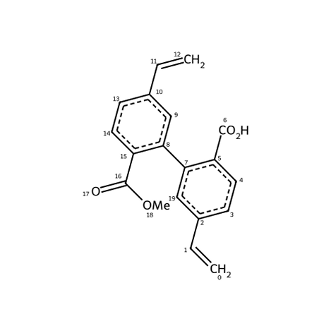 C=Cc1ccc(C(=O)O)c(-c2cc(C=C)ccc2C(=O)OC)c1